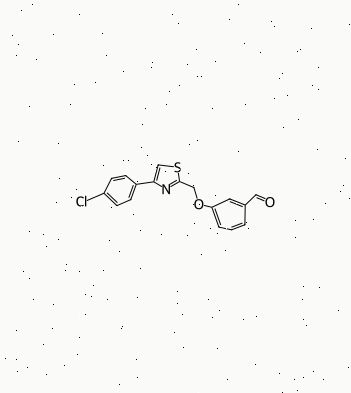 O=Cc1cccc(OCc2nc(-c3ccc(Cl)cc3)cs2)c1